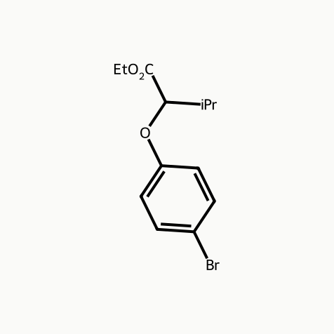 CCOC(=O)C(Oc1ccc(Br)cc1)C(C)C